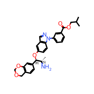 CC(C)COC(=O)c1cccc(-n2ncc3cc(O[C@H](c4ccc5c(c4)OCOC5)[C@H](C)N)ccc32)c1